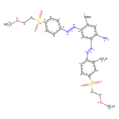 CNc1cc(N)c(/N=N/c2ccc(S(=O)(=O)CCOS(=O)(=O)O)cc2S(=O)(=O)O)cc1/N=N/c1ccc(S(=O)(=O)CCOS(=O)(=O)O)cc1